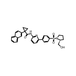 O=C(Nc1cccc(-c2ccc(S(=O)(=O)N3CCC[C@H]3CO)cc2)n1)C1(c2ccc3ccccc3c2)CC1